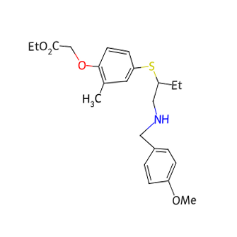 CCOC(=O)COc1ccc(SC(CC)CNCc2ccc(OC)cc2)cc1C